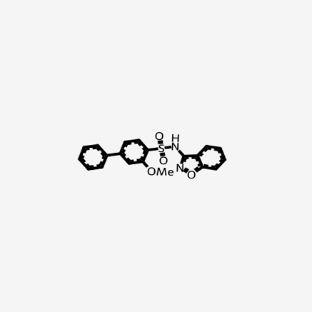 COc1cc(-c2ccccc2)ccc1S(=O)(=O)Nc1noc2ccccc12